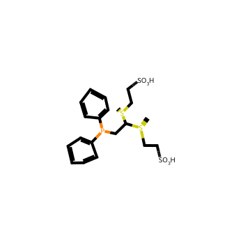 C=S(CCS(=O)(=O)O)C(CP(c1ccccc1)c1ccccc1)S(=C)CCS(=O)(=O)O